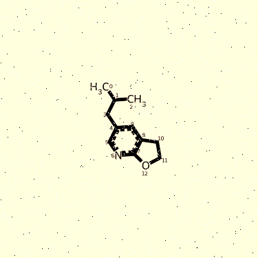 CC(C)Cc1cnc2c(c1)CCO2